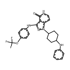 O=c1[nH]ccc2c1c(Nc1ccc(OC(F)(F)F)cc1)nn2C1CCC(Nc2ccccc2)CC1